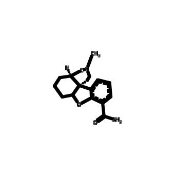 CN1CC[C@]23c4cccc(C(N)=O)c4OC2CCC[C@H]3C1